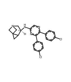 Clc1ccc(-c2ncc(N[C@@H]3CN4CC5(CC35)C4)nc2-c2ccc(Cl)cc2)cc1